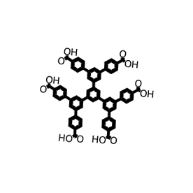 O=C(O)c1ccc(-c2cc(-c3ccc(C(=O)O)cc3)cc(-c3cc(-c4cc(-c5ccc(C(=O)O)cc5)cc(-c5ccc(C(=O)O)cc5)c4)cc(-c4cc(-c5ccc(C(=O)O)cc5)cc(-c5ccc(C(=O)O)cc5)c4)c3)c2)cc1